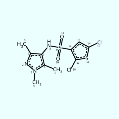 Cc1nn(C)c(C)c1NS(=O)(=O)c1cc(Cl)sc1Cl